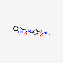 NC(=O)Oc1ccc(CNC(=O)C[C@@H](N)Cc2ccccc2)cc1